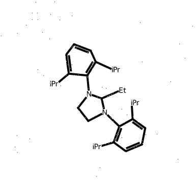 CCC1N(c2c(C(C)C)cccc2C(C)C)CCN1c1c(C(C)C)cccc1C(C)C